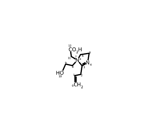 C=CCC1=NCC[N+]1(CCO)CC(=O)O